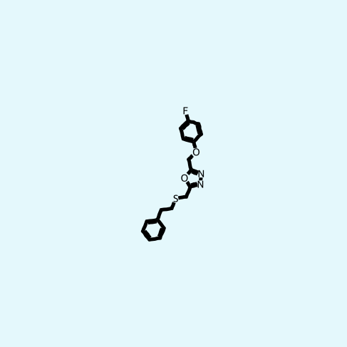 Fc1ccc(OCc2nnc(CSCCc3ccccc3)o2)cc1